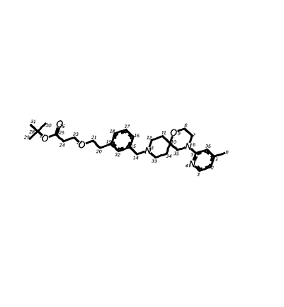 Cc1ccnc(N2CCOC3(CCN(Cc4cccc(CCOCCC(=O)OC(C)(C)C)c4)CC3)C2)c1